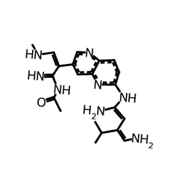 CN/C=C(\C(=N)NC(C)=O)c1cnc2ccc(N/C(N)=C/C(=C\N)C(C)C)nc2c1